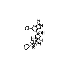 O=S(=O)(N[C@H]1[C@@H]2C[C@](O)(c3cc(Cl)cc4[nH]ncc34)C[C@@H]21)C1CCCCC1